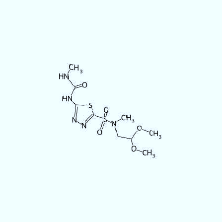 CNC(=O)Nc1nnc(S(=O)(=O)N(C)CC(OC)OC)s1